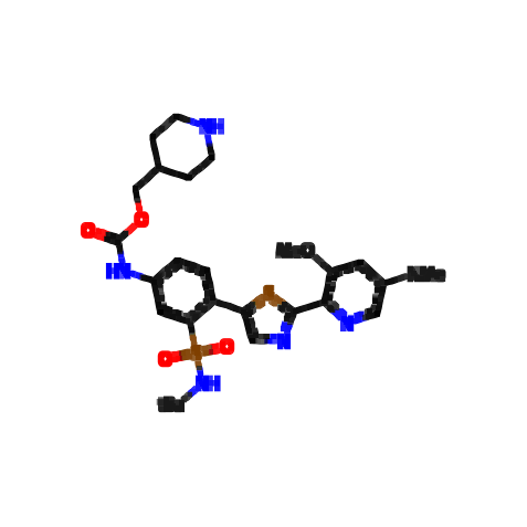 CNc1cnc(-c2ncc(-c3ccc(NC(=O)OCC4CCNCC4)cc3S(=O)(=O)NC(C)(C)C)s2)c(OC)c1